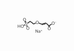 O=C([O-])C=COCCS(=O)(=O)O.[Na+]